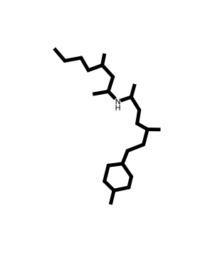 CCCCC(C)CC(C)NC(C)CCC(C)CCC1CCC(C)CC1